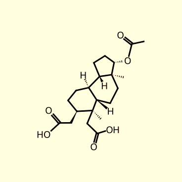 CC(=O)O[C@H]1CC[C@H]2[C@@H]3CC[C@H](CC(=O)O)[C@](C)(CC(=O)O)[C@H]3CC[C@]12C